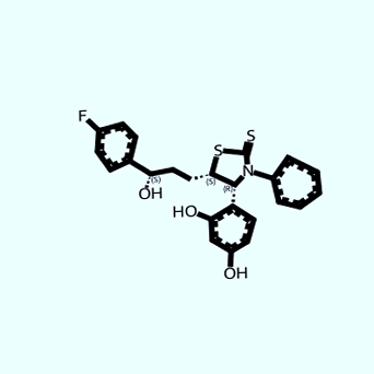 Oc1ccc([C@@H]2[C@H](CC[C@H](O)c3ccc(F)cc3)SC(=S)N2c2ccccc2)c(O)c1